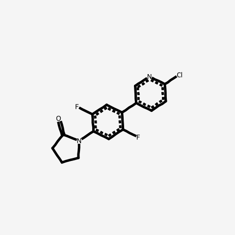 O=C1CCCN1c1cc(F)c(-c2ccc(Cl)nc2)cc1F